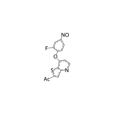 CC(=O)c1cc2nccc(Oc3ccc(N=O)cc3F)c2s1